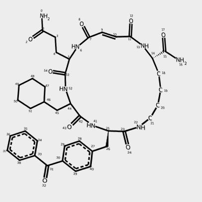 NC(=O)CCC1NC(=O)/C=C/C(=O)N[C@H](C(N)=O)CCCCNC(=O)[C@@H](Cc2ccc(C(=O)c3ccccc3)cc2)NC(=O)C(CC2CCCCC2)NC1=O